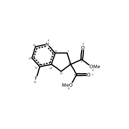 COC(=O)C1(C(=O)OC)Cc2nccc(F)c2C1